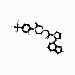 O=C1CN(CC(=O)N2CC=CC2c2cccc3ccoc23)CCN1c1ccc(C(F)(F)F)cn1